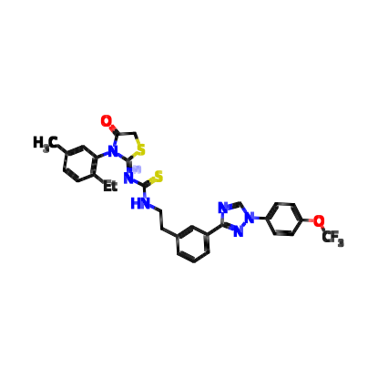 CCc1ccc(C)cc1N1C(=O)CS/C1=N\C(=S)NCCc1cccc(-c2ncn(-c3ccc(OC(F)(F)F)cc3)n2)c1